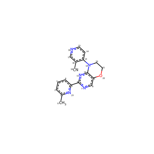 Cc1cccc(-c2ncc3c(n2)N(c2ccncc2C#N)CCO3)n1